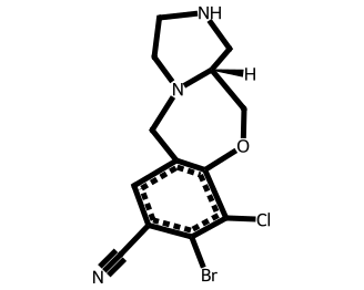 N#Cc1cc2c(c(Cl)c1Br)OC[C@H]1CNCCN1C2